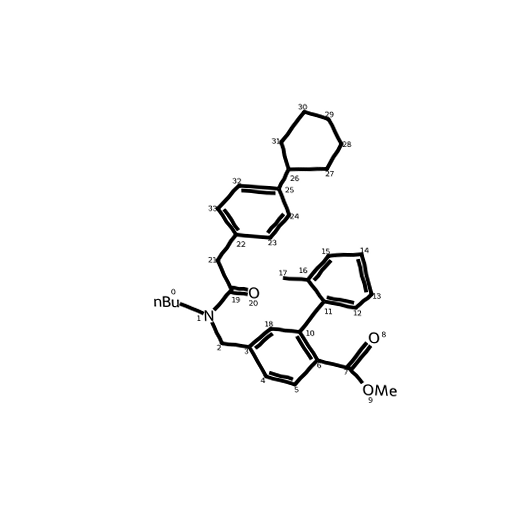 CCCCN(Cc1ccc(C(=O)OC)c(-c2ccccc2C)c1)C(=O)Cc1ccc(C2CCCCC2)cc1